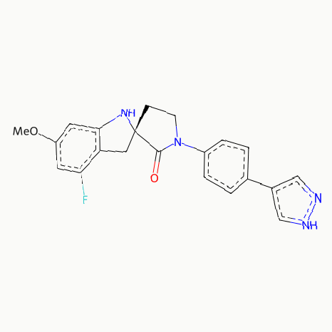 COc1cc(F)c2c(c1)N[C@@]1(CCN(c3ccc(-c4cn[nH]c4)cc3)C1=O)C2